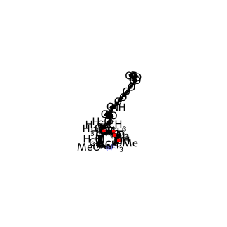 COc1cc2cc(c1Cl)N(C)C(=O)C[C@H](OC(=O)[C@H](C)N(C)C(=O)CCC(C)(C)SC1CC(=O)N(CCC(=O)NCCOCCOCCOCCOCCC(=O)ON3C(=O)CCC3=O)C1=O)[C@]1(C)O[C@H]1[C@H](C)[C@@H]1C[C@@](O)(NC(=O)O1)[C@H](OC)/C=C/C=C(\C)C2